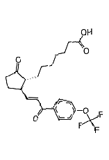 O=C(O)CCCCCC[C@H]1C(=O)CC[C@@H]1C=CC(=O)c1ccc(OC(F)(F)F)cc1